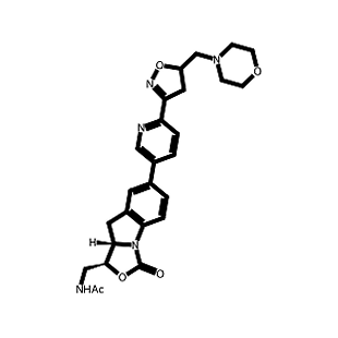 CC(=O)NC[C@@H]1OC(=O)N2c3ccc(-c4ccc(C5=NOC(CN6CCOCC6)C5)nc4)cc3C[C@@H]12